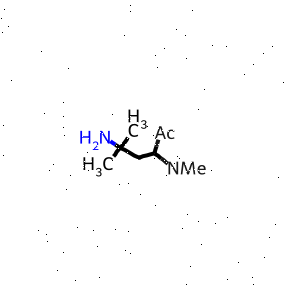 CNC(CC(C)(C)N)C(C)=O